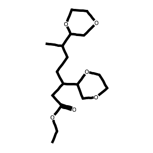 CCOC(=O)CC(CCC(C)C1COCCO1)C1COCCO1